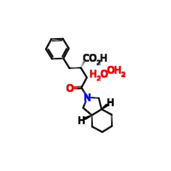 O.O.O=C(O)[C@H](CC(=O)N1C[C@H]2CCCC[C@H]2C1)Cc1ccccc1